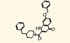 O=C(c1cc(=O)c2ccc(OCc3ccccc3)cc2[nH]1)N1CCC(Cc2ccccc2)CC1